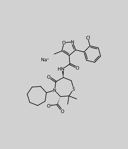 Cc1onc(-c2ccccc2Cl)c1C(=O)N[C@H]1CSC(C)(C)[C@H](C(=O)[O-])N(C2CCCCCC2)C1=O.[Na+]